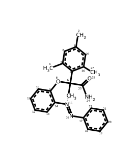 Cc1cc(C)c(C(C)(Oc2ccccc2N=Nc2ccccc2)C(N)=O)c(C)c1